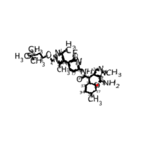 Cc1nn(COCC[Si](C)(C)C)c(C)c1-c1ccc(NC(=O)C(c2cnn(C)c2C(N)=O)C2CCC(C)CC2)nc1F